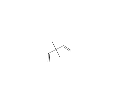 C=CC(C)(C)C=C